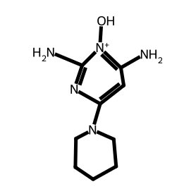 Nc1cc(N2CCCCC2)nc(N)[n+]1O